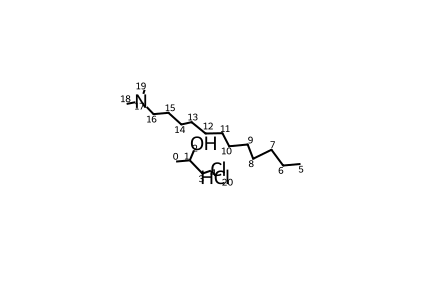 CC(O)CCl.CCCCCCCCCCCCN(C)C.Cl